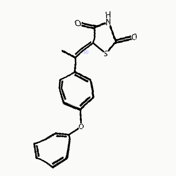 C/C(=C1/SC(=O)NC1=O)c1ccc(Oc2ccccc2)cc1